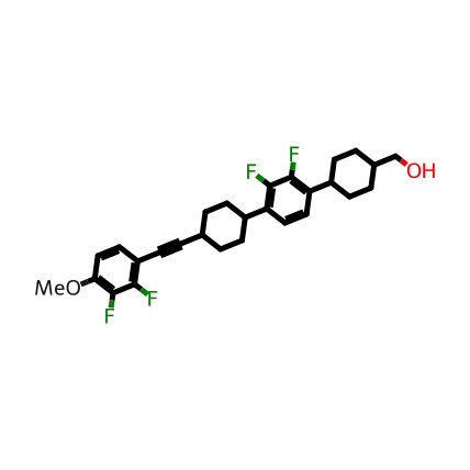 COc1ccc(C#CC2CCC(c3ccc(C4CCC(CO)CC4)c(F)c3F)CC2)c(F)c1F